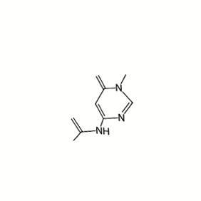 C=C(C)NC1=CC(=C)N(C)C=N1